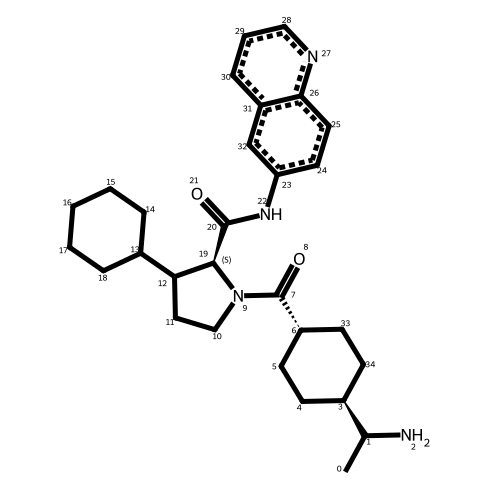 CC(N)[C@H]1CC[C@H](C(=O)N2CCC(C3CCCCC3)[C@H]2C(=O)Nc2ccc3ncccc3c2)CC1